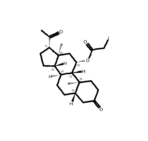 CC(=O)[C@H]1CC[C@H]2[C@@H]3CC[C@H]4CC(=O)CC[C@]4(C)[C@H]3[C@@H](OC(=O)CI)C[C@]12C